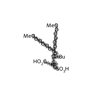 COCCOCCOCCOCCOCCOCCN(CCOCCOCCOCCOCCOCCOC)c1ccc2c(c1)OC(/C=C/C=C1/N(CCCCCC(=O)O)c3ccc(S(=O)(=O)O)cc3C1(C)C)C=C2C(C)(C)C